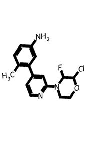 Cc1ccc(N)cc1-c1ccnc(N2CCOC(Cl)C2F)c1